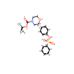 C=C(Cl)OC(=O)N1CCO[C@H](c2ccc(OS(=O)(=O)c3ccccc3)cc2)C1